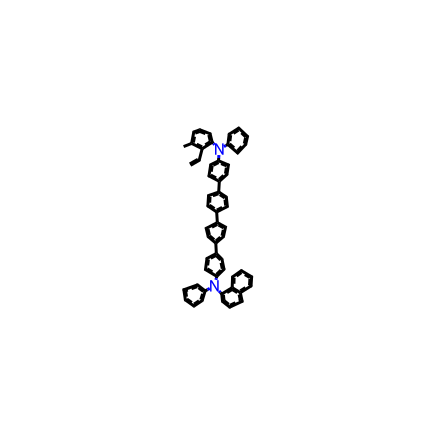 C=Cc1c(C)cccc1N(c1ccccc1)c1ccc(-c2ccc(-c3ccc(-c4ccc(N(c5ccccc5)c5cccc6ccccc56)cc4)cc3)cc2)cc1